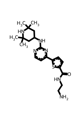 CC1(C)CC(Nc2nccc(-c3ccc(C(=O)NCCN)s3)n2)CC(C)(C)N1